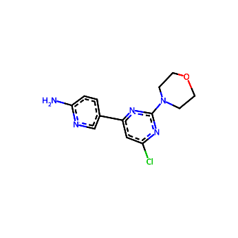 Nc1ccc(-c2cc(Cl)nc(N3CCOCC3)n2)cn1